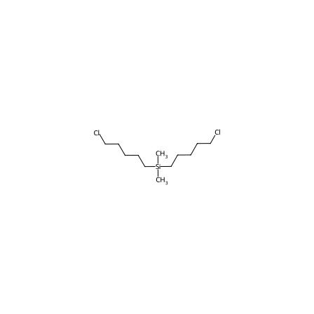 C[Si](C)(CCCCCCl)CCCCCCl